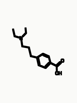 CCN(CC)CCCc1ccc(C(=O)O)cc1